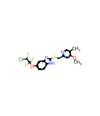 COc1cc(CSc2nc3cc(OC(F)(F)C(F)Cl)ccc3[nH]2)ncc1C